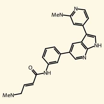 CNCC=CC(=O)Nc1cccc(-c2cnc3[nH]cc(-c4ccnc(NC)c4)c3c2)c1